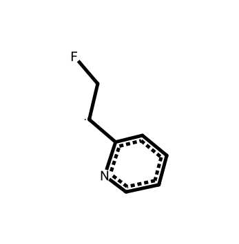 FC[CH]c1ccccn1